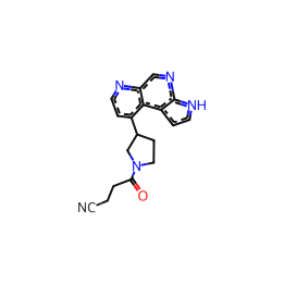 N#CCCC(=O)N1CCC(c2ccnc3cnc4[nH]ccc4c23)C1